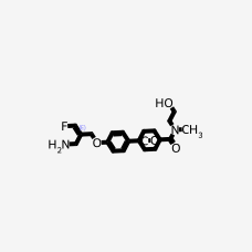 CN(CCO)C(=O)C12CCC(c3ccc(OC/C(=C/F)CN)cc3)(CC1)CC2